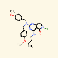 CCCCNc1nc(N(Cc2ccc(OC)cc2)Cc2ccc(OC)cc2)nc2ccn(Cl)c(=O)c12